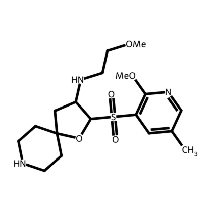 COCCNC1CC2(CCNCC2)OC1S(=O)(=O)c1cc(C)cnc1OC